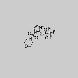 C[n+]1ccn(S(=O)(=O)N2CCOCC2)c1OS(=O)(=O)C(F)(F)F